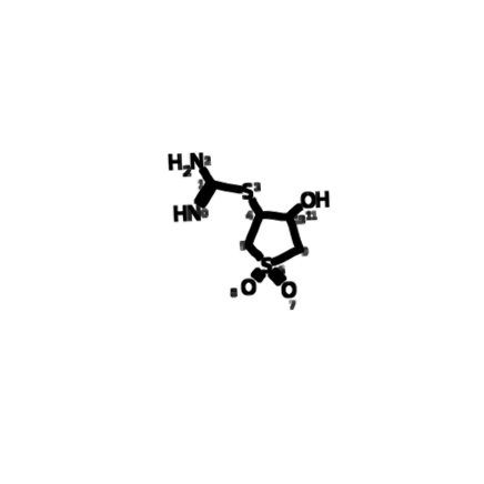 N=C(N)SC1CS(=O)(=O)CC1O